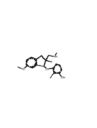 CNCC1(F)Cc2ccc(OC)cc2C1Oc1cccc(O)c1C